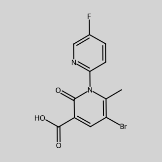 Cc1c(Br)cc(C(=O)O)c(=O)n1-c1ccc(F)cn1